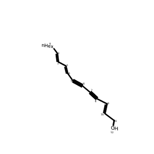 CCCCCC/C=C/C=CC#CC#CC=CCO